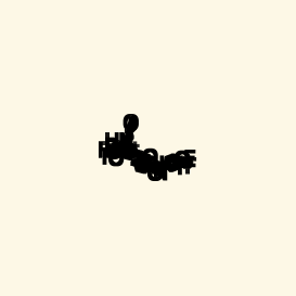 COCCCNc1cc(Cn2c(C)ccc(-c3nc(-c4ccc(OC(F)(F)F)cc4)no3)c2=O)cc[n+]1OC(=O)C(F)(F)F